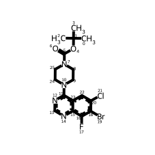 CC(C)(C)OC(=O)N1CCN(c2ncnc3c(F)c(Br)c(Cl)cc23)CC1